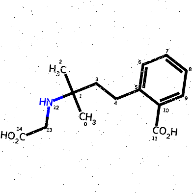 CC(C)(CCc1ccccc1C(=O)O)NCC(=O)O